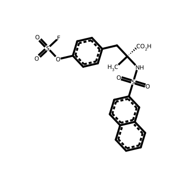 C[C@@](Cc1ccc(OS(=O)(=O)F)cc1)(NS(=O)(=O)c1ccc2ccccc2c1)C(=O)O